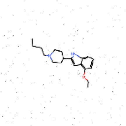 CCCCN1CCC(c2cc3c(OCC)cccc3[nH]2)CC1